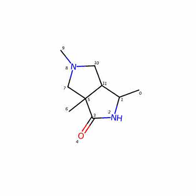 CC1NC(=O)C2(C)CN(C)CC12